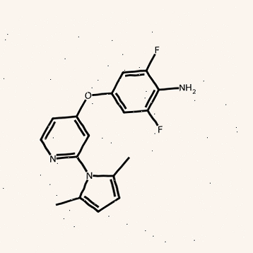 Cc1ccc(C)n1-c1cc(Oc2cc(F)c(N)c(F)c2)ccn1